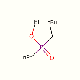 CCCP(=O)(CC(C)(C)C)OCC